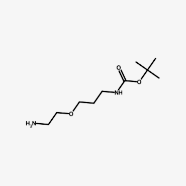 CC(C)(C)OC(=O)NCCCOCCN